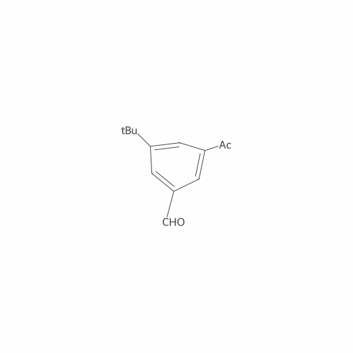 CC(=O)c1cc(C=O)cc(C(C)(C)C)c1